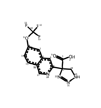 O=C(O)C1(c2cc3cc(OC(F)(F)F)ccc3cn2)CNN=N1